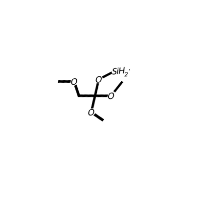 COCC(OC)(OC)O[SiH2]